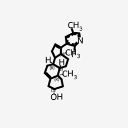 Cc1cnc(F)c(C2=CCC3[C@@H]4CC=C5C[C@@H](O)CC[C@]5(C)[C@H]4CC[C@]23C)c1